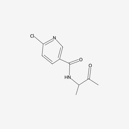 CC(=O)C(C)NC(=O)c1ccc(Cl)nc1